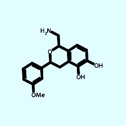 COc1cccc(C2Cc3c(ccc(O)c3O)C(CN)O2)c1